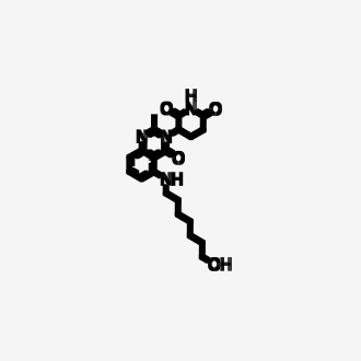 Cc1nc2cccc(NCCCCCCCO)c2c(=O)n1C1CCC(=O)NC1=O